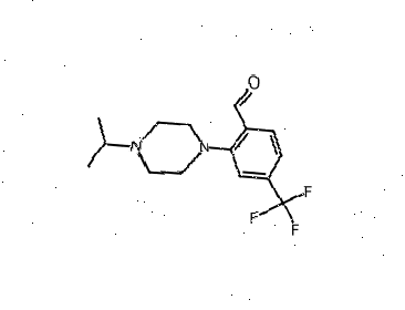 CC(C)N1CCN(c2cc(C(F)(F)F)ccc2C=O)CC1